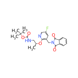 C[C@@H](CNC(=O)OC(C)(C)C)Oc1ncc(F)cc1CN1C(=O)c2ccccc2C1=O